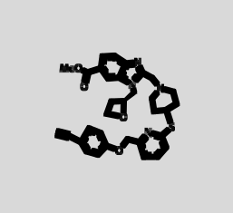 C#Cc1ccc(OCc2cccc(SC3CCN(Cc4nc5ccc(C(=O)OC)cc5n4C[C@@H]4CCO4)CC3)n2)cc1